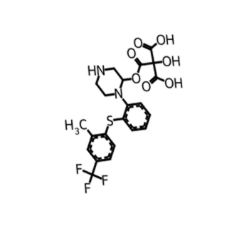 Cc1cc(C(F)(F)F)ccc1Sc1ccccc1N1CCNCC1OC(=O)C(O)(C(=O)O)C(=O)O